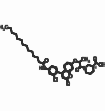 CCCCCCCCCCCCCC(=O)Nc1ccc(-c2cc(=O)oc3cc(OC(C)C(=O)N4CCC[C@H](C(=O)O)C4)ccc23)c(Cl)c1